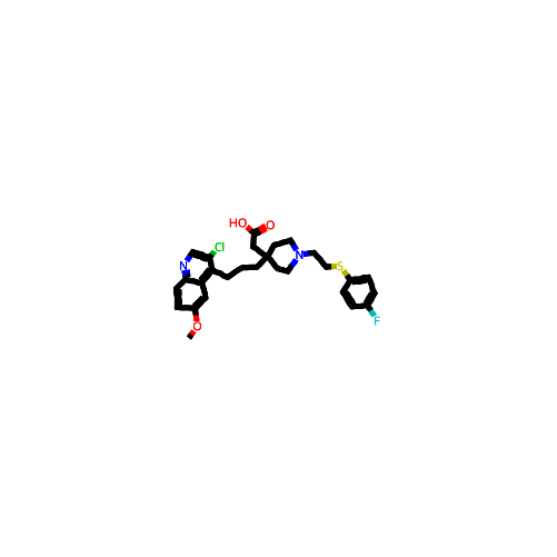 COc1ccc2ncc(Cl)c(CCCC3(CC(=O)O)CCN(CCSc4ccc(F)cc4)CC3)c2c1